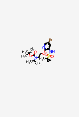 CC(C)N(CCOc1ncc(Br)cc1NS(=O)(=O)C1(C)CC1)C(=O)OC(C)(C)C